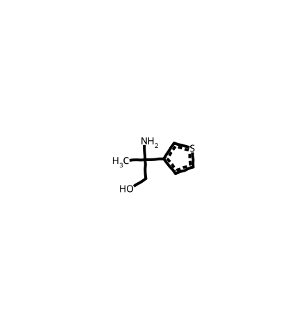 CC(N)(CO)c1ccsc1